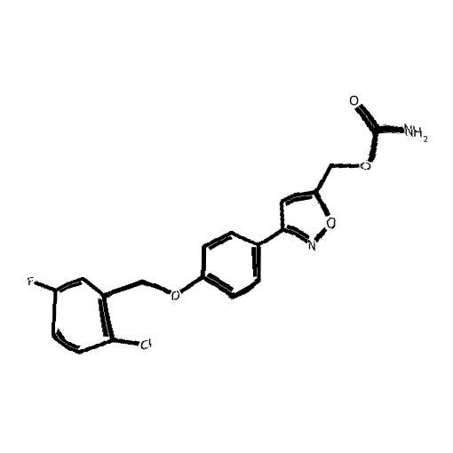 NC(=O)OCc1cc(-c2ccc(OCc3cc(F)ccc3Cl)cc2)no1